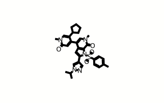 Cc1ccc(S(=O)(=O)n2c(-c3cnn(C(C)C)c3)cc3c(-c4cc(=O)n(C)cc4C4CCCC4)cn(C)c(=O)c32)cc1